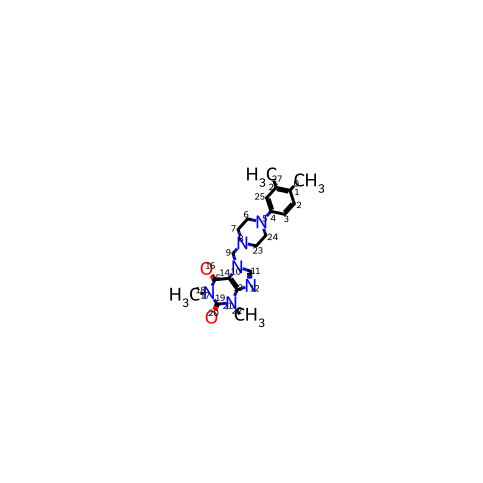 Cc1ccc(N2CCN(Cn3cnc4c3c(=O)n(C)c(=O)n4C)CC2)cc1C